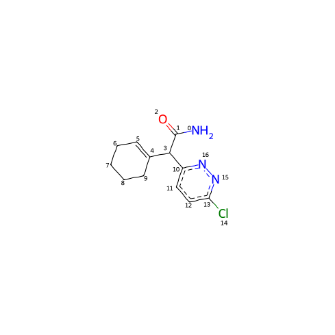 NC(=O)C(C1=CCCCC1)c1ccc(Cl)nn1